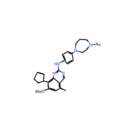 COc1cc(C)c2cnc(Nc3ccc(N4CCCN(C(C)=O)CC4)cc3)nc2c1C1CCCC1